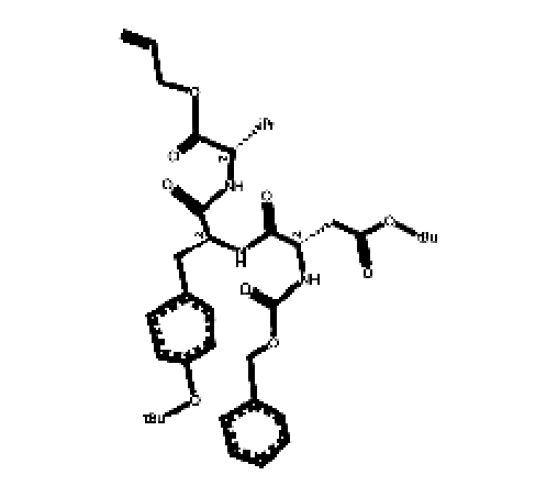 C=CCOC(=O)[C@@H](NC(=O)[C@H](Cc1ccc(OC(C)(C)C)cc1)NC(=O)[C@H](CC(=O)OC(C)(C)C)NC(=O)OCc1ccccc1)C(C)C